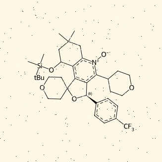 CC1(C)Cc2c(c3c(c(C4CCOCC4)[n+]2[O-])[C@@H](c2ccc(C(F)(F)F)cc2)OC32CCOCC2)C(O[Si](C)(C)C(C)(C)C)C1